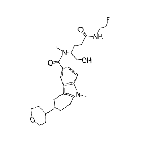 CN(C(=O)c1ccc2c(c1)c1c(n2C)CCC(C2CCOCC2)C1)C(CO)CCC(=O)NCCF